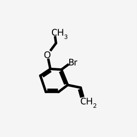 C=Cc1cccc(OCC)c1Br